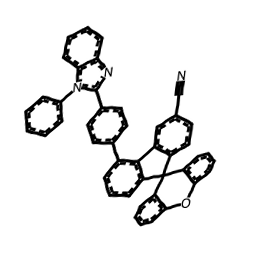 N#Cc1ccc2c(c1)-c1c(-c3ccc(-c4nc5ccccc5n4-c4ccccc4)cc3)cccc1C21c2ccccc2Oc2ccccc21